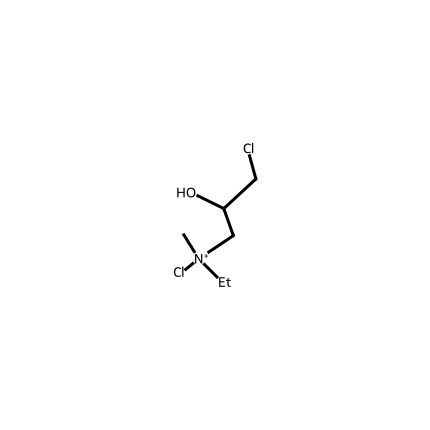 CC[N+](C)(Cl)CC(O)CCl